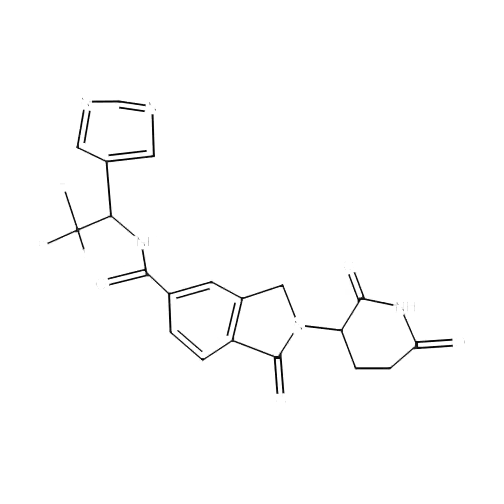 O=C1CCC(N2Cc3cc(C(=O)NC(c4cncnc4)C(F)(F)F)ccc3C2=O)C(=O)N1